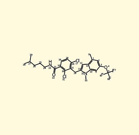 Cc1cc(OC(F)(F)F)cc2c1cc(Cc1c(Cl)ccc(C(=O)NCCCC(C)C)c1Cl)n2C